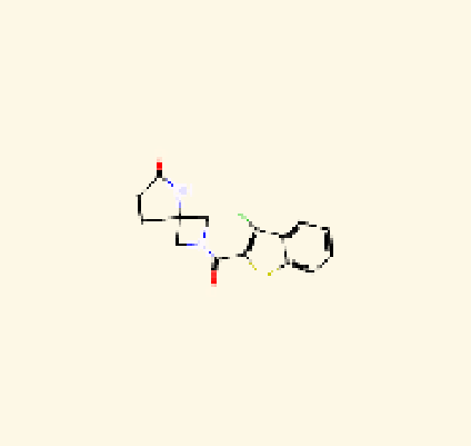 O=C1CCC2(CN(C(=O)c3sc4ccccc4c3Cl)C2)N1